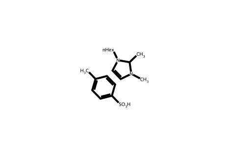 CCCCCCN1C=CN(C)C1C.Cc1ccc(S(=O)(=O)O)cc1